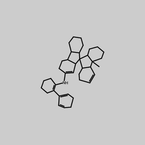 CC12CCCCC1C1(C3C=C(NC4=C(C5=CCCC=C5)CCCC4)CCC3C3CCCCC31)C1CCC=CC12